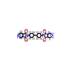 O=C1c2ccncc2C(=O)N1c1ccc(-c2ccc(N3C(=O)c4ccncc4C3=O)cc2)cc1